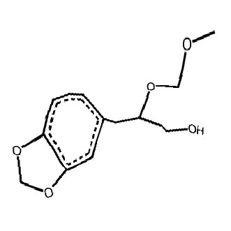 COCOC(CO)c1ccc2c(c1)OCO2